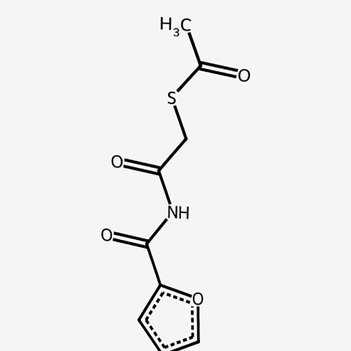 CC(=O)SCC(=O)NC(=O)c1ccco1